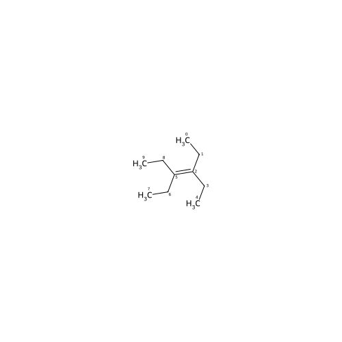 CCC(CC)=C(CC)CC